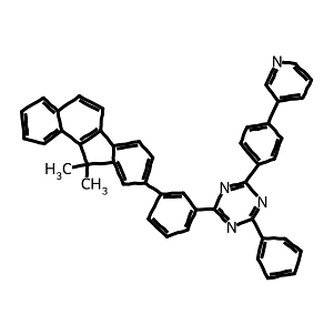 CC1(C)c2cc(-c3cccc(-c4nc(-c5ccccc5)nc(-c5ccc(-c6cccnc6)cc5)n4)c3)ccc2-c2ccc3ccccc3c21